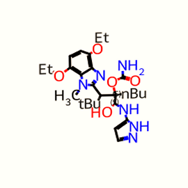 CCCC[C@](OC(N)=O)(C(c1nc2c(OCC)ccc(OCC)c2n1C)C(C)(C)C)[C@H](O)Nc1ccn[nH]1